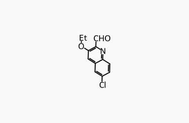 CCOc1cc2cc(Cl)ccc2nc1C=O